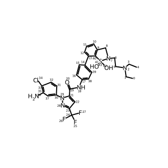 CCN(CC)CCN1Cc2cccc(-c3ccc(NC(=O)c4cc(C(F)(F)F)nn4-c4ccc(Cl)c(N)c4)cc3)c2S1(O)O